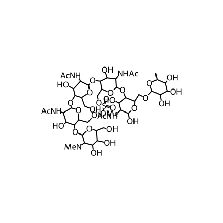 CNC1C(OC2C(CO)OC(OC3C(CO)OC(OC4C(COS(=O)(=O)OC)OC(OC5C(COC6OC(C)C(O)C(O)C6O)OC(O)C(NC(C)=O)C5O)C(NC(C)=O)C4O)C(NC(C)=O)C3O)C(NC(C)=O)C2O)OC(CO)C(O)C1O